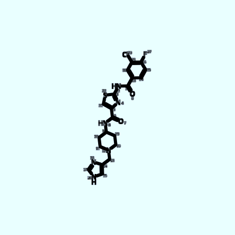 O=C(Nc1nc(C(=O)NC2CCN(Cc3c[nH]cn3)CC2)cs1)c1ccc(F)c(Cl)c1